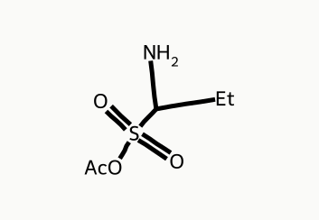 CCC(N)S(=O)(=O)OC(C)=O